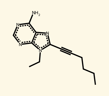 CCCCC#Cc1nc2c(N)ncnc2n1CC